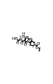 CCOC(=O)N1CCc2c(sc3nc(O)c(C(=O)N(C)C(=O)O)c(=O)n23)C1